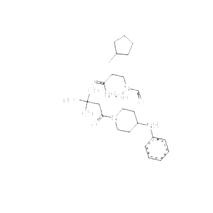 CC(C)(C)[C@H](NC(=O)[C@H](CC1CCCC1)CN(O)C=O)C(=O)N1CCC(Nc2ccccc2)CC1